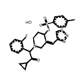 Cc1ccc(S(=O)(=O)SC2CCN(C(C(=O)C3CC3)c3ccccc3F)C/C2=C/c2csnn2)cc1.Cl